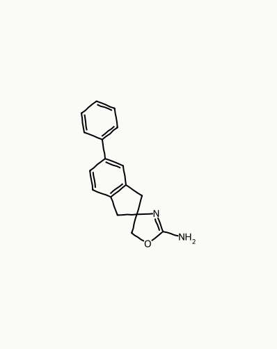 NC1=NC2(CO1)Cc1ccc(-c3ccccc3)cc1C2